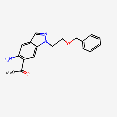 COC(=O)c1cc2c(cnn2CCOCc2ccccc2)cc1N